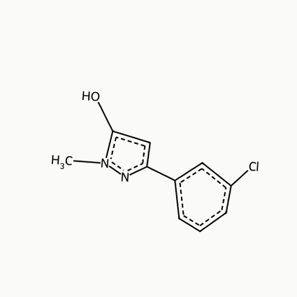 Cn1nc(-c2cccc(Cl)c2)cc1O